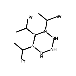 CC(C)C(C)B1N(C(C)C(C)C)BNBN1C(C)C(C)C